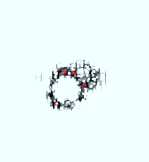 CC[C@H]1OC(=O)[C@H](C)C(=O)[C@H](C)[C@H]2O[C@H]3C[C@H](C[C@@H](C)O3)N(C)CCc3cn(nn3)[C@H](CF)[C@H](OC)c3ccc(cc3)-c3cnc(s3)N[C@H](C[C@@]2(C)OC)C(=O)[C@H](C)[C@@H](O)[C@]1(C)O